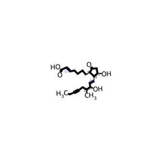 CCC#CC[C@H](C)[C@H](O)/C=C/[C@H]1[C@H](O)CC(=O)[C@@H]1CCCC/C=C/C(=O)O